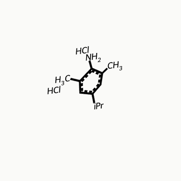 Cc1cc(C(C)C)cc(C)c1N.Cl.Cl